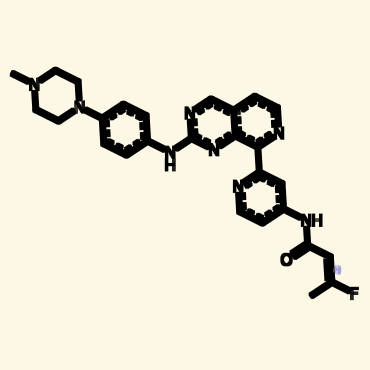 C/C(F)=C\C(=O)Nc1ccnc(-c2nccc3cnc(Nc4ccc(N5CCN(C)CC5)cc4)nc23)c1